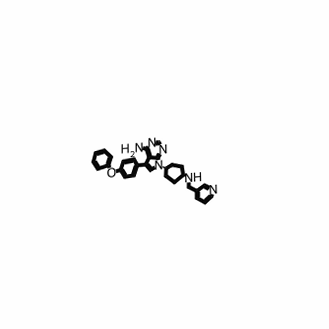 Nc1ncnc2c1c(-c1ccc(Oc3ccccc3)cc1)cn2[C@H]1CC[C@H](NCc2cccnc2)CC1